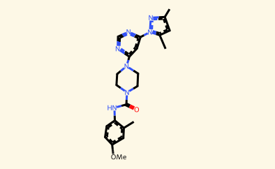 COc1ccc(NC(=O)N2CCN(c3cc(-n4nc(C)cc4C)ncn3)CC2)c(C)c1